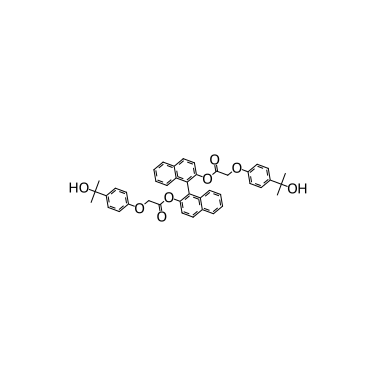 CC(C)(O)c1ccc(OCC(=O)Oc2ccc3ccccc3c2-c2c(OC(=O)COc3ccc(C(C)(C)O)cc3)ccc3ccccc23)cc1